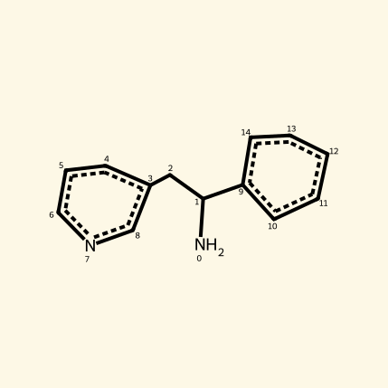 NC(Cc1cccnc1)c1ccccc1